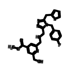 COC(=O)c1cc(CO)nc(CNCc2nnc(Cc3cccs3)n2Cc2ccc(F)cc2)c1